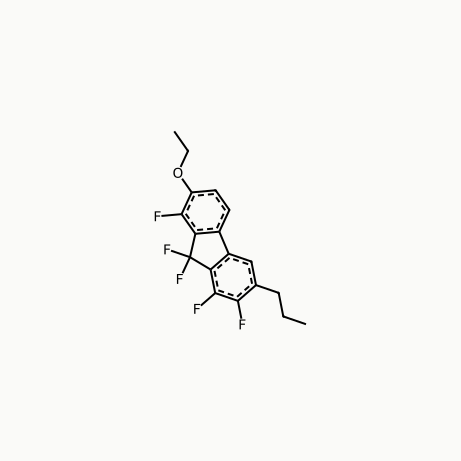 CCCc1cc2c(c(F)c1F)C(F)(F)c1c-2ccc(OCC)c1F